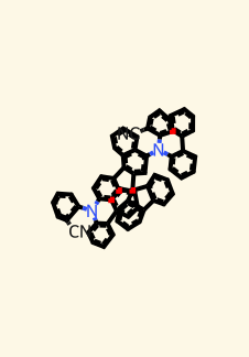 N#Cc1ccccc1N(c1ccc2c(c1)C1(c3ccccc3-c3ccccc31)c1cc(N(c3ccccc3C#N)c3ccccc3-c3ccccc3)c3ccccc3c1-2)c1ccccc1-c1ccccc1